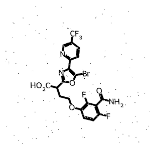 NC(=O)c1c(F)ccc(OCCC(C(=O)O)c2nc(-c3ccc(C(F)(F)F)cn3)c(Br)o2)c1F